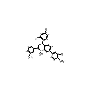 Cc1cc(C(C[C@H](c2ccc(-c3ccc(C(=O)O)c(Cl)c3)cc2)c2ccc(Cl)cc2F)=NO)ccn1